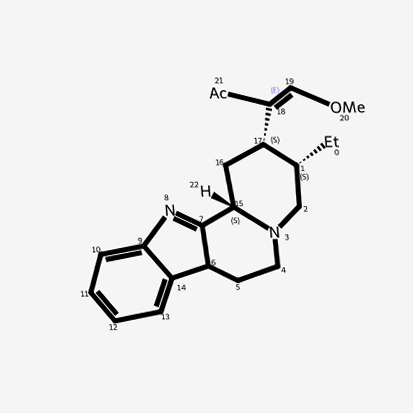 CC[C@@H]1CN2CCC3C(=Nc4ccccc43)[C@@H]2C[C@@H]1/C(=C\OC)C(C)=O